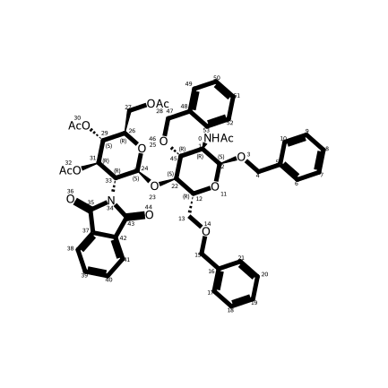 CC(=O)N[C@H]1[C@@H](OCc2ccccc2)O[C@H](COCc2ccccc2)[C@@H](O[C@@H]2O[C@H](COC(C)=O)[C@@H](OC(C)=O)[C@H](OC(C)=O)[C@H]2N2C(=O)c3ccccc3C2=O)[C@@H]1OCc1ccccc1